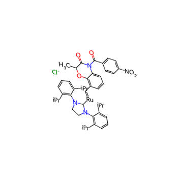 CC1Oc2c(/[CH]=[Ru]/[CH]3N(c4c(C(C)C)cccc4C(C)C)CCN3c3c(C(C)C)cccc3C(C)C)cccc2N(C(=O)c2ccc([N+](=O)[O-])cc2)C1=O.[Cl-]